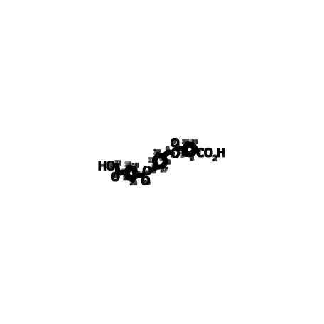 O=C(O)c1ccc(C(=O)OCC2CCC(COC(=O)c3ccc(C(=O)CO)cc3)CC2)cc1